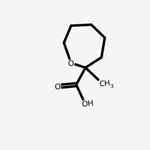 CC1(C(=O)O)CCCCCO1